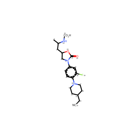 CC(CC1CN(c2ccc(N3CCC(CC#N)CC3)c(F)c2)C(=O)O1)NC(=O)O